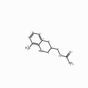 NC(=O)OCC1CNc2c(N)cccc2C1